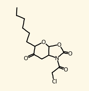 CCCCCCC1OC2OC(=O)N(C(=O)CCl)C2CC1=O